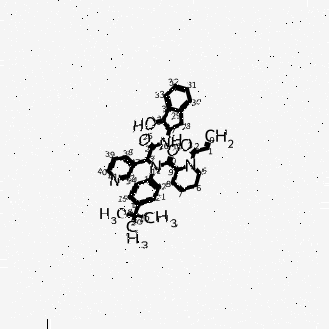 C=CC(=O)N1CCCCC1C(=O)N(c1ccc(C(C)(C)C)cc1)C(C(=O)NC1Cc2ccccc2C1O)c1cccnc1